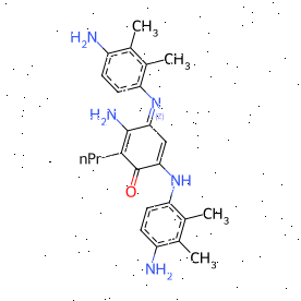 CCCC1=C(N)/C(=N\c2ccc(N)c(C)c2C)C=C(Nc2ccc(N)c(C)c2C)C1=O